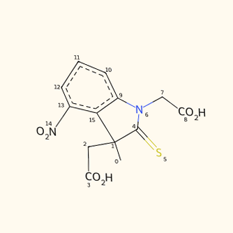 CC1(CC(=O)O)C(=S)N(CC(=O)O)c2cccc([N+](=O)[O-])c21